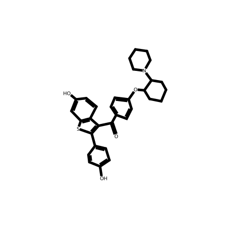 O=C(c1ccc(OC2CCCCC2N2CCCCC2)cc1)c1c(-c2ccc(O)cc2)sc2cc(O)ccc12